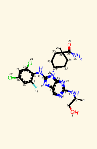 C[C@@H](CO)Nc1ncc2nc(Nc3c(F)cc(Cl)cc3Cl)n([C@H]3CC[C@@](C)(C(N)=O)CC3)c2n1